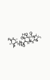 CC1CN2C(=O)c3c(O)c(=O)c(C(=O)NCc4ccc(F)cc4F)cn3CC2S1